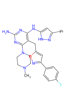 CC(C)c1cc(Nc2nc(N)nc(N3CCN(C)CC3)c2Cc2cc(-c3ccc(F)cc3)no2)[nH]n1